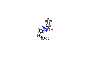 CCCCCCCCOC(=O)c1ccc2nn(-c3cc4c(cc3O)OC=CO4)nc2c1